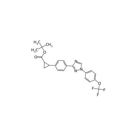 CC(C)(C)OC(=O)C1CC1c1ccc(-c2ncn(-c3ccc(OC(F)(F)F)cc3)n2)cc1